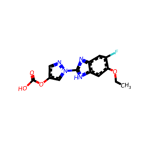 CCOc1cc2[nH]c(-n3cc(OC(=O)O)cn3)nc2cc1F